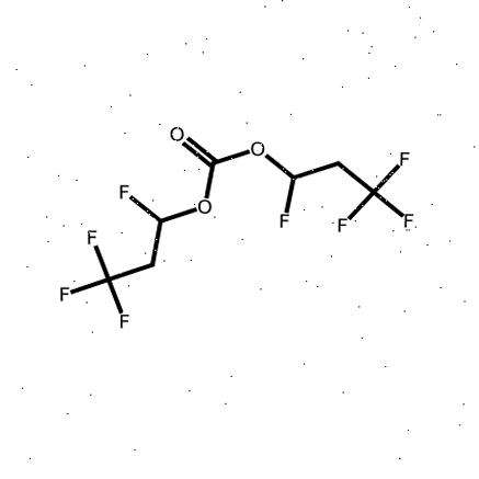 O=C(OC(F)CC(F)(F)F)OC(F)CC(F)(F)F